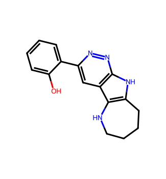 Oc1ccccc1-c1cc2c3c([nH]c2nn1)CCCCN3